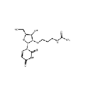 O=C(NCCCOC1C(O)[C@H](CO)O[C@@H]1n1ccc(=O)[nH]c1=O)C(F)(F)F